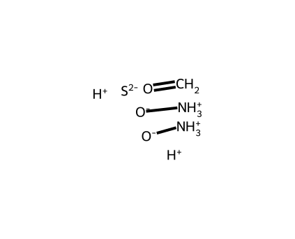 C=O.[H+].[H+].[NH3+][O-].[NH3+][O-].[S-2]